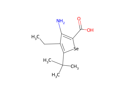 CCc1c(C(C)(C)C)[se]c(C(=O)O)c1N